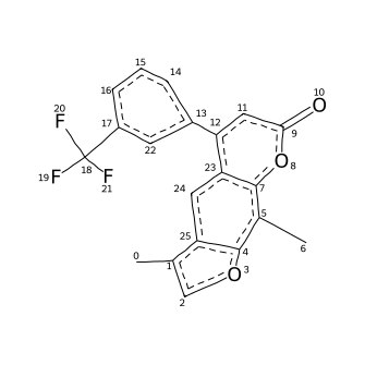 Cc1coc2c(C)c3oc(=O)cc(-c4cccc(C(F)(F)F)c4)c3cc12